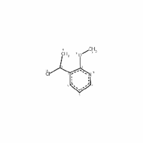 COc1ncccc1C(C)Cl